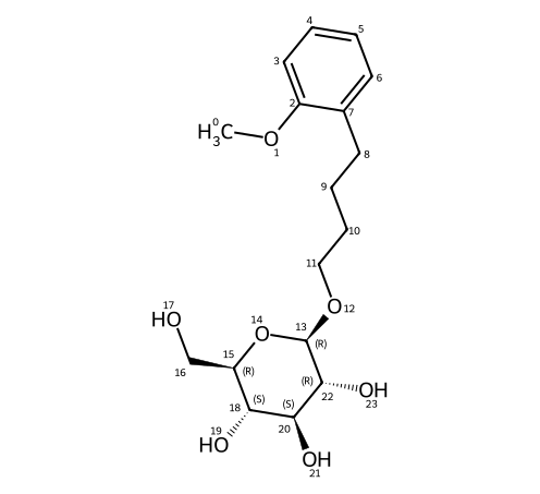 COc1ccccc1CCCCO[C@@H]1O[C@H](CO)[C@@H](O)[C@H](O)[C@H]1O